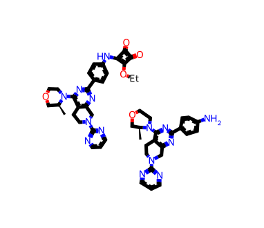 CCOc1c(Nc2ccc(-c3nc4c(c(N5CCOC[C@@H]5C)n3)CCN(c3ncccn3)C4)cc2)c(=O)c1=O.C[C@H]1COCCN1c1nc(-c2ccc(N)cc2)nc2c1CCN(c1ncccn1)C2